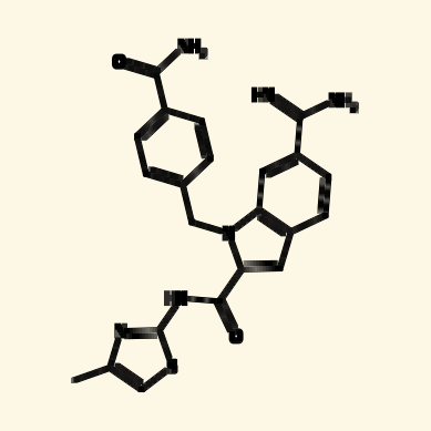 Cc1csc(NC(=O)c2cc3ccc(C(=N)N)cc3n2Cc2ccc(C(N)=O)cc2)n1